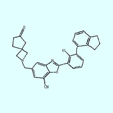 N#Cc1cc(CN2CC3(CCC(=O)C3)C2)cc2nc(-c3cccc(-c4cccc5c4CCC5)c3Cl)oc12